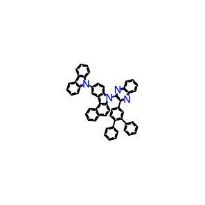 c1ccc(-c2ccc(-c3nc4ccccc4nc3-n3c4ccc(-n5c6ccccc6c6ccccc65)cc4c4c5ccccc5ccc43)cc2-c2ccccc2)cc1